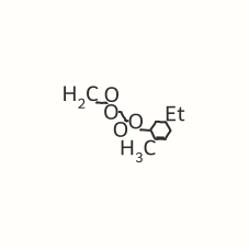 C=CC(=O)OCC(=O)OCC1CC(CC)CC=C1C